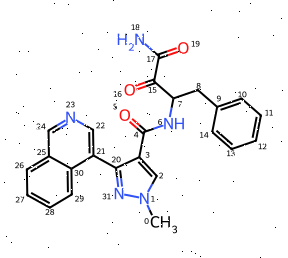 Cn1cc(C(=O)NC(Cc2ccccc2)C(=O)C(N)=O)c(-c2cncc3ccccc23)n1